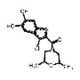 CC1CN(C(=O)c2sc3cc(O)c(O)cc3c2Cl)CC(C)O1